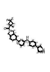 O=C(N1Cc2ccc(-c3nccc(Nc4ccc(-c5cn[nH]c5)cc4)n3)cc2C1)C1(F)CC(F)(F)C1